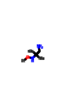 CCCCC(CN)(CCCC)NOCC